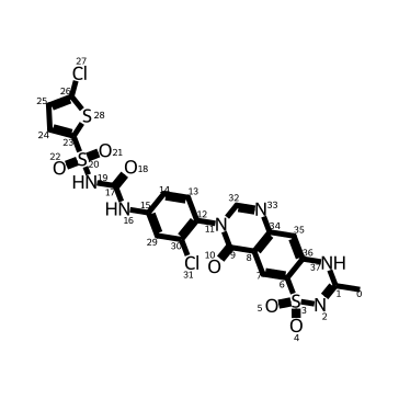 CC1=NS(=O)(=O)c2cc3c(=O)n(-c4ccc(NC(=O)NS(=O)(=O)c5ccc(Cl)s5)cc4Cl)cnc3cc2N1